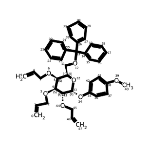 C=CCO[C@H]1[C@@H](OCC=C)[C@@H](COC(c2ccccc2)(c2ccccc2)c2ccccc2)O[C@H](Oc2ccc(OC)cc2)[C@@H]1OCC=C